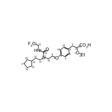 CCOC(Cc1ccc(OCCN(CCC2CCCC2)C(=O)NCC(F)(F)F)cc1)C(=O)O